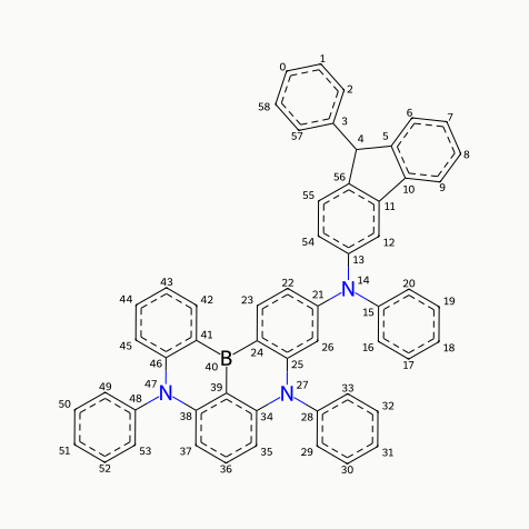 c1ccc(C2c3ccccc3-c3cc(N(c4ccccc4)c4ccc5c(c4)N(c4ccccc4)c4cccc6c4B5c4ccccc4N6c4ccccc4)ccc32)cc1